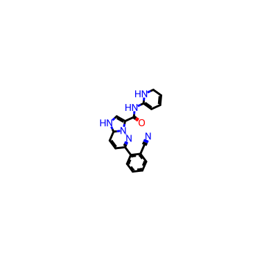 N#Cc1ccccc1C1=NN2C(C(=O)NC3=CC=CCN3)=CNC2C=C1